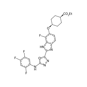 CCOC(=O)[C@H]1CC[C@@H](Oc2ccc3nc(-c4nnc(Nc5cc(F)c(F)cc5F)o4)[nH]c3c2F)CC1